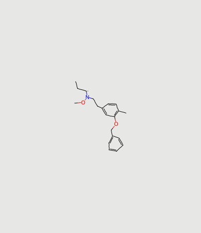 CC[CH]N(CCc1ccc(C)c(OCc2ccccc2)c1)OC